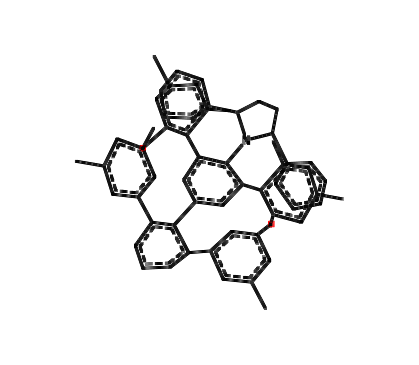 Cc1cc(C)cc(-c2cccc(-c3cc(C)cc(C)c3)c2-c2cc(-c3c(C)cc(C)cc3C)c(N3C(c4ccccc4)CCC3c3ccccc3)c(-c3c(C)cc(C)cc3C)c2)c1